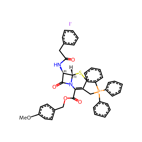 COc1ccc(COC(=O)C2=C(C[P+](c3ccccc3)(c3ccccc3)c3ccccc3)CS[C@H]3[C@H](NC(=O)Cc4ccccc4)C(=O)N23)cc1.[I-]